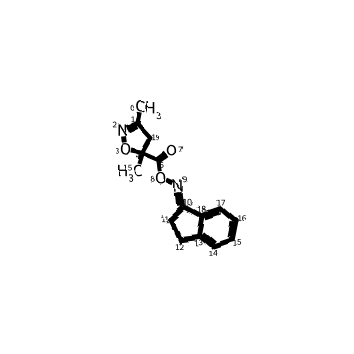 CC1=NOC(C)(C(=O)O/N=C2\CCc3ccccc32)C1